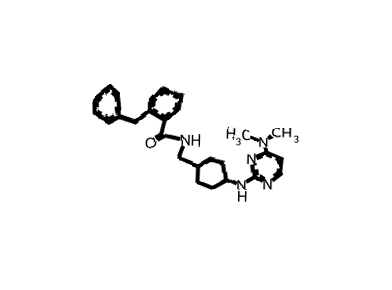 CN(C)c1ccnc(NC2CCC(CNC(=O)c3ccccc3Cc3ccccc3)CC2)n1